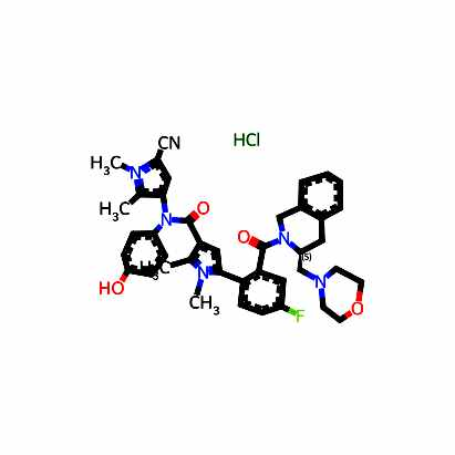 Cc1c(N(C(=O)c2cc(-c3ccc(F)cc3C(=O)N3Cc4ccccc4C[C@H]3CN3CCOCC3)n(C)c2C)c2ccc(O)cc2)cc(C#N)n1C.Cl